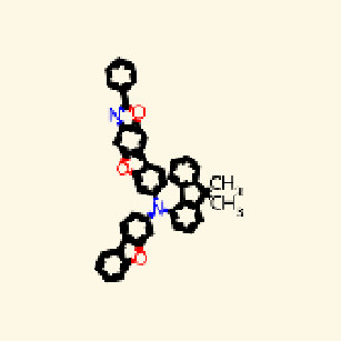 CC1(C)c2ccccc2-c2c(N(c3ccc4c(c3)oc3ccccc34)c3ccc4c(c3)oc3cc5nc(-c6ccccc6)oc5cc34)cccc21